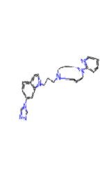 c1ccc(N2CCN(CCCn3ccc4ccc(-n5cnnc5)cc43)CC2)nc1